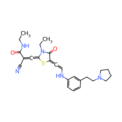 CCNC(=O)C(=C=c1sc(=C=CNc2cccc(CCN3CCCC3)c2)c(=O)n1CC)C#N